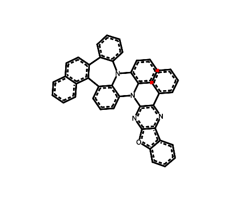 c1ccc(-c2nc3c(nc2N2c4ccccc4N4c5ccccc5-c5ccc6ccccc6c5-c5cccc2c54)oc2ccccc23)cc1